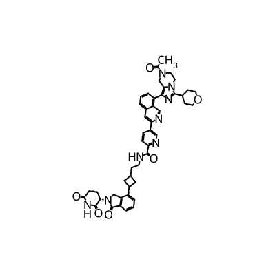 CC(=O)N1CCn2c(C3CCOCC3)nc(-c3cccc4cc(-c5ccc(C(=O)NCCC6CC(c7cccc8c7CN([C@H]7CCC(=O)NC7=O)C8=O)C6)nc5)ncc34)c2C1